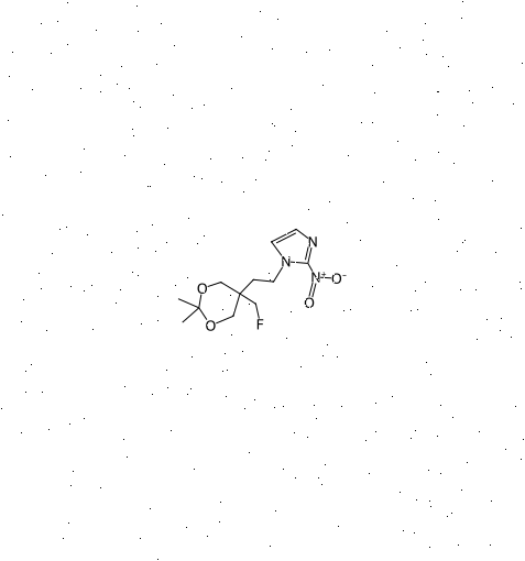 CC1(C)OCC(CF)(CCn2ccnc2[N+](=O)[O-])CO1